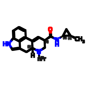 CCCN1C[C@H](C(=O)N[C@@H]2C[C@H]2C)C=C2c3cccc4[nH]cc(c34)C[C@H]21